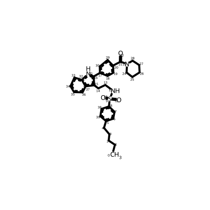 CCCCCc1ccc(S(=O)(=O)NCCc2c(-c3ccc(C(=O)N4CCCCC4)cc3)[nH]c3ccccc23)cc1